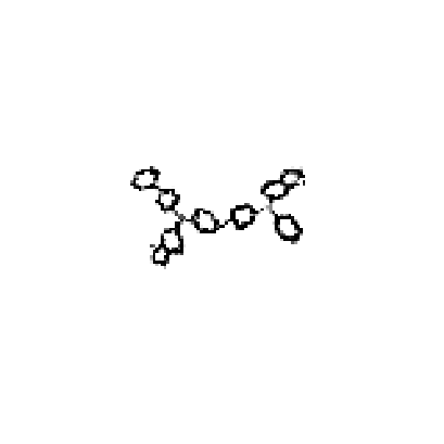 c1ccc(-c2ccc(N(c3ccc(-c4ccc(N(c5ccccc5)c5ccc6ccsc6c5)cc4)cc3)c3ccc4ccsc4c3)cc2)cc1